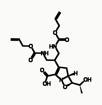 C=CCOC(=O)NCC(CNC(=O)OCC=C)C1=C(C(=O)O)N2O[C@H]([C@@H](C)O)[C@H]2C1